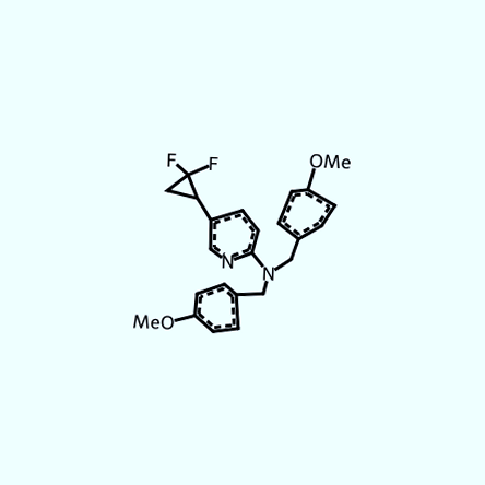 COc1ccc(CN(Cc2ccc(OC)cc2)c2ccc(C3CC3(F)F)cn2)cc1